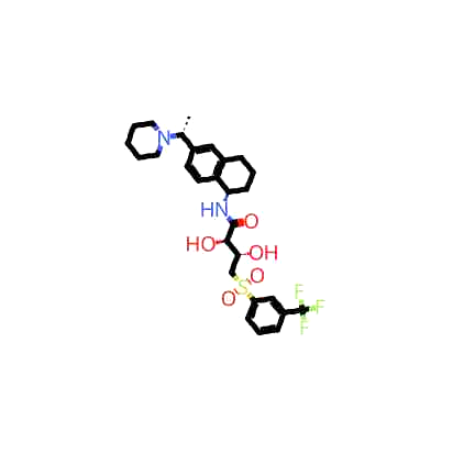 C[C@H](c1ccc2c(c1)CCC[C@H]2NC(=O)[C@H](O)[C@H](O)CS(=O)(=O)c1cccc(C(F)(F)F)c1)N1CCCCC1